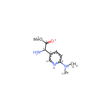 COC(=O)C(N)c1ccc(N(C)C(C)C)nc1